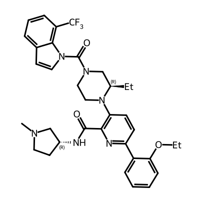 CCOc1ccccc1-c1ccc(N2CCN(C(=O)n3ccc4cccc(C(F)(F)F)c43)C[C@H]2CC)c(C(=O)N[C@@H]2CCN(C)C2)n1